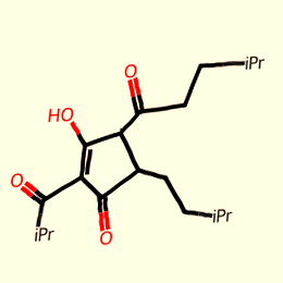 CC(C)CCC(=O)[C]1C(O)=C(C(=O)C(C)C)C(=O)C1CCC(C)C